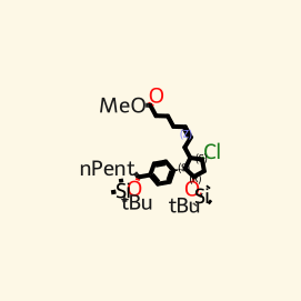 CCCCCC(O[Si](C)(C)C(C)(C)C)c1ccc([C@@H]2C(C/C=C\CCCC(=O)OC)[C@@H](Cl)C[C@H]2O[Si](C)(C)C(C)(C)C)cc1